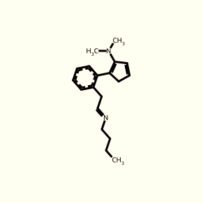 CCCCN=CCc1ccccc1C1=C(N(C)C)C=CC1